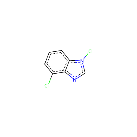 Clc1cccc2c1n[c]n2Cl